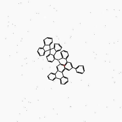 c1ccc(-c2cccc(-c3ccccc3N(c3ccc4c5ccccc5c5ccccc5c4c3)c3cccc4c3-c3ccccc3C43c4ccccc4-c4ccccc43)c2)cc1